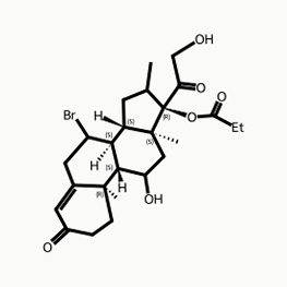 CCC(=O)O[C@]1(C(=O)CO)C(C)C[C@H]2[C@@H]3C(Br)CC4=CC(=O)CC[C@]4(C)[C@H]3C(O)C[C@@]21C